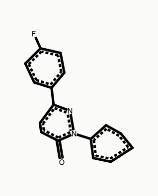 O=c1ccc(-c2ccc(F)cc2)nn1-c1ccccc1